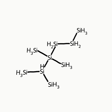 [SiH3][SiH2][SiH2][Si]([SiH3])([SiH3])[SiH]([SiH3])[SiH3]